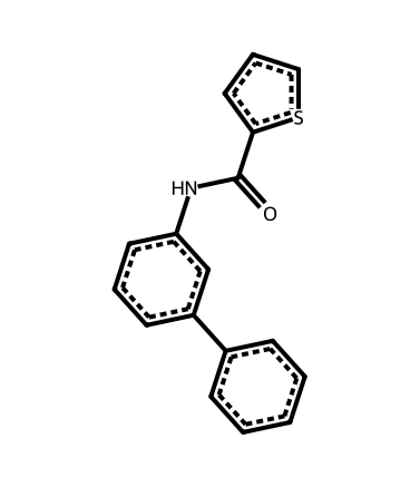 O=C(Nc1cccc(-c2ccccc2)c1)c1cccs1